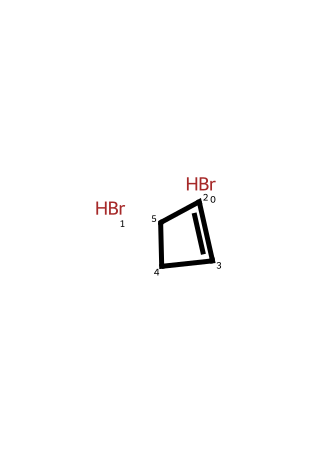 Br.Br.C1=CCC1